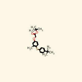 Cc1cc(OCC(=O)OC(C)(C)C)ccc1Sc1ccc(C(C)(C)C)cc1